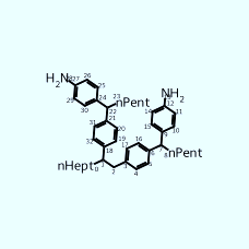 CCCCCCCC(Cc1ccc(C(CCCCC)c2ccc(N)cc2)cc1)c1ccc(C(CCCCC)c2ccc(N)cc2)cc1